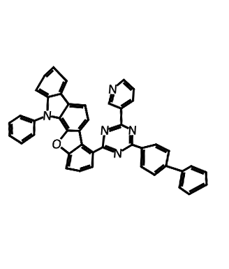 c1ccc(-c2ccc(-c3nc(-c4cccnc4)nc(-c4cccc5oc6c(ccc7c8ccccc8n(-c8ccccc8)c76)c45)n3)cc2)cc1